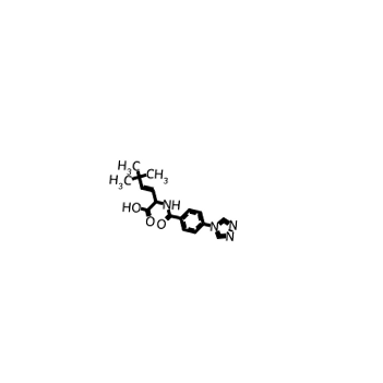 CC(C)(C)/C=C/C(NC(=O)c1ccc(-n2cnnc2)cc1)C(=O)O